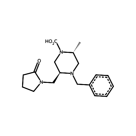 C[C@@H]1CN(Cc2ccccc2)[C@@H](CN2CCCC2=O)CN1C(=O)O